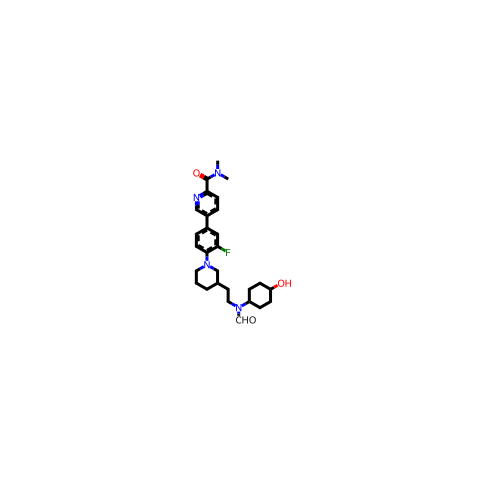 CN(C)C(=O)c1ccc(-c2ccc(N3CCCC(CCN(C=O)C4CCC(O)CC4)C3)c(F)c2)cn1